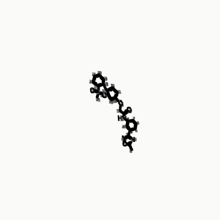 Cc1nc(-c2cccc(NC(=O)COc3ccc(-c4ccccc4S(C)(=O)=O)cc3)c2)no1